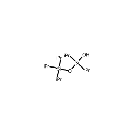 CC(C)[Si](O)(O[Si](C(C)C)(C(C)C)C(C)C)C(C)C